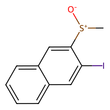 C[S+]([O-])c1cc2ccccc2cc1I